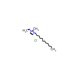 C=C[n+]1ccn(CCCCCCCCCCCC)c1C.[Cl-]